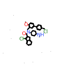 CN[C@H]1CC[C@@H](N(Cc2cc(-c3ccc(CCl)cc3)ccc2OC)C(=O)C2=C(Cl)c3ccccc3C2)CC1